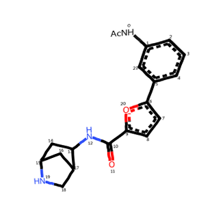 CC(=O)Nc1cccc(-c2ccc(C(=O)NC3CC4CC3CN4)o2)c1